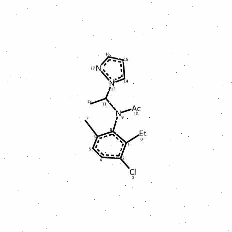 CCc1c(Cl)ccc(C)c1N(C(C)=O)C(C)n1cccn1